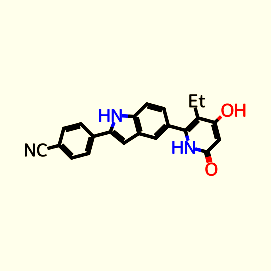 CCc1c(O)cc(=O)[nH]c1-c1ccc2[nH]c(-c3ccc(C#N)cc3)cc2c1